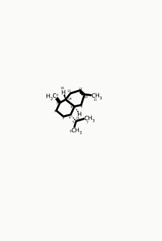 C=C1CC[C@@H](C(C)C)[C@@H]2CC(C)=CC[C@@H]12